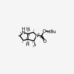 C[C@H]1[C@H]2CCN[C@H]2CN1C(=O)OC(C)(C)C